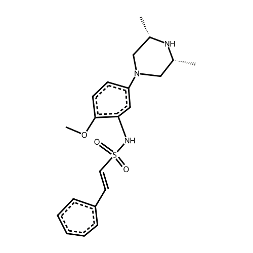 COc1ccc(N2C[C@@H](C)N[C@@H](C)C2)cc1NS(=O)(=O)/C=C/c1ccccc1